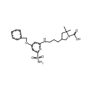 CC1(C)CC(CCCNc2cc(OCc3ccccc3)cc(S(N)(=O)=O)n2)CN1C(=O)O